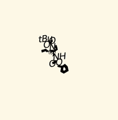 C=CC[C@@H]1[C@H](CNC(=O)OCc2ccccc2)CCN1C(=O)OC(C)(C)C